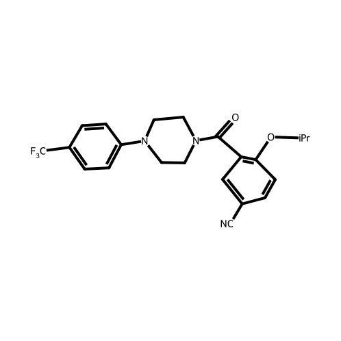 CC(C)Oc1ccc(C#N)cc1C(=O)N1CCN(c2ccc(C(F)(F)F)cc2)CC1